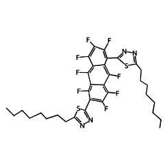 CCCCCCCCc1nnc(-c2c(F)c(F)c3c(F)c4c(-c5nnc(CCCCCCCC)s5)c(F)c(F)c(F)c4c(F)c3c2F)s1